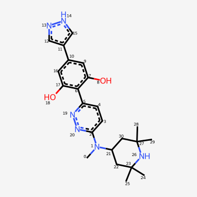 CN(c1ccc(-c2c(O)cc(-c3cn[nH]c3)cc2O)nn1)C1CC(C)(C)NC(C)(C)C1